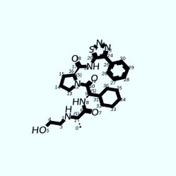 C[C@H](NCCO)C(=O)N[C@H](C(=O)N1CCC[C@H]1C(=O)Nc1snnc1-c1ccccc1)C1CCCCC1